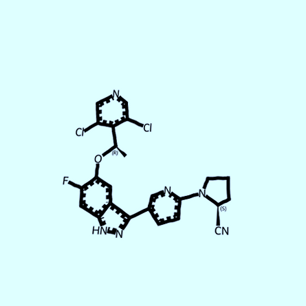 C[C@@H](Oc1cc2c(-c3ccc(N4CCC[C@H]4C#N)nc3)n[nH]c2cc1F)c1c(Cl)cncc1Cl